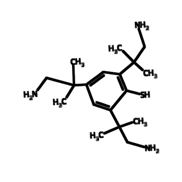 CC(C)(CN)c1cc(C(C)(C)CN)c(S)c(C(C)(C)CN)c1